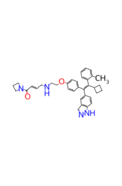 Cc1ccccc1/C(=C(\c1ccc(OCCNC/C=C/C(=O)N2CCC2)cc1)c1ccc2[nH]ncc2c1)C1CCC1